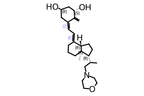 C=C1/C(=C\C=C2/CCC[C@]3(C)[C@@H](C(C)CN4CCOCC4)CC[C@@H]23)C[C@@H](O)C[C@@H]1O